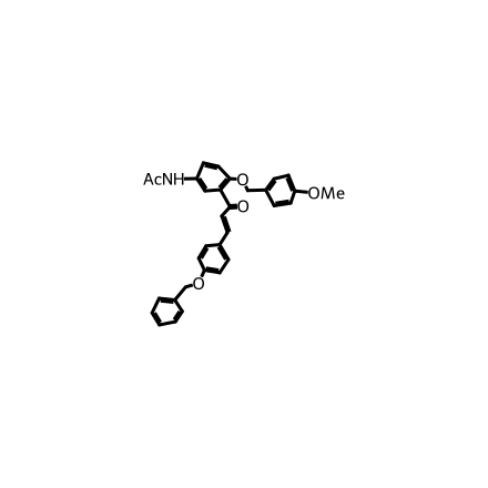 COc1ccc(COc2ccc(NC(C)=O)cc2C(=O)/C=C/c2ccc(OCc3ccccc3)cc2)cc1